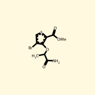 COC(=O)c1scc(Br)c1OC(C)C(N)=O